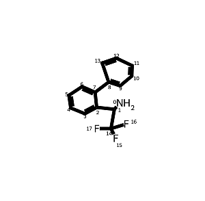 NC(c1ccccc1-c1ccccc1)C(F)(F)F